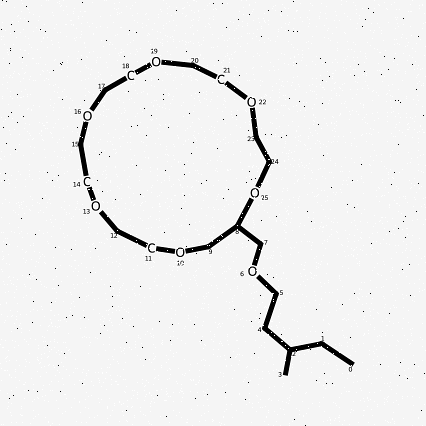 CCC(C)CCOCC1COCCOCCOCCOCCOCCO1